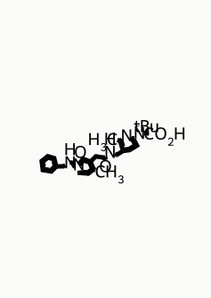 Cc1ccn(NCc2ccccc2)c(=O)c1CC(=O)NCc1ccc(N(C(=O)O)C(C)(C)C)nc1C